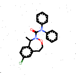 CC1c2ccc(Cl)cc2CCON1C(=O)N(c1ccccc1)c1ccccc1